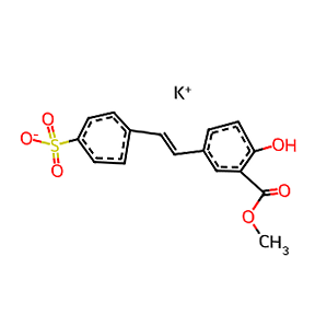 COC(=O)c1cc(C=Cc2ccc(S(=O)(=O)[O-])cc2)ccc1O.[K+]